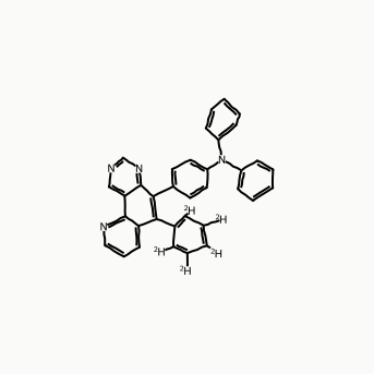 [2H]c1c([2H])c([2H])c(-c2c(-c3ccc(N(c4ccccc4)c4ccccc4)cc3)c3ncncc3c3ncccc23)c([2H])c1[2H]